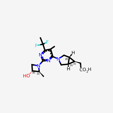 Cc1c(N2C[C@@H]3[C@@H](CC(=O)O)[C@@H]3C2)nc(N2C[C@@H](O)[C@@H]2C)nc1C(C)(F)F